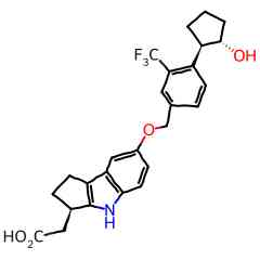 O=C(O)C[C@H]1CCc2c1[nH]c1ccc(OCc3ccc([C@H]4CCC[C@@H]4O)c(C(F)(F)F)c3)cc21